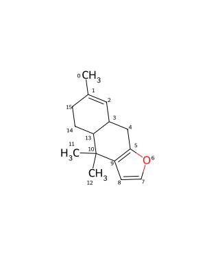 CC1=CC2Cc3occc3C(C)(C)C2CC1